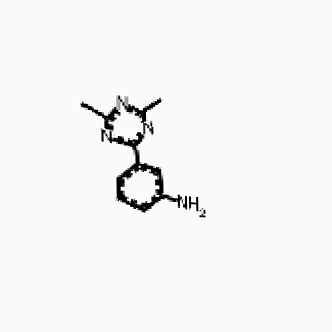 Cc1nc(C)nc(-c2cccc(N)c2)n1